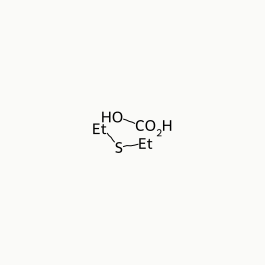 CCSCC.O=C(O)O